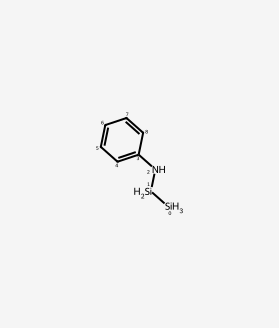 [SiH3][SiH2]Nc1ccccc1